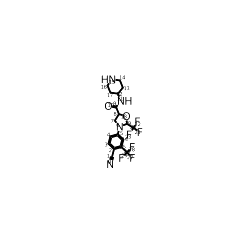 N#Cc1ccc(N2CC(C(=O)NC3CCNCC3)OC2C(F)(F)F)cc1C(F)(F)F